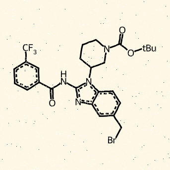 CC(C)(C)OC(=O)N1CCCC(n2c(NC(=O)c3cccc(C(F)(F)F)c3)nc3cc(CBr)ccc32)C1